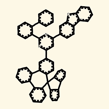 c1ccc(-c2ccccc2-c2nc(-c3ccc4c(c3)-c3ccccc3-c3ccccc3C43c4ccccc4-c4ccccc43)cc(-c3ccc4c(c3)oc3ccccc34)n2)cc1